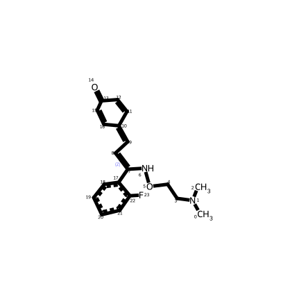 CN(C)CCON/C(=C\C=C1C=CC(=O)C=C1)c1ccccc1F